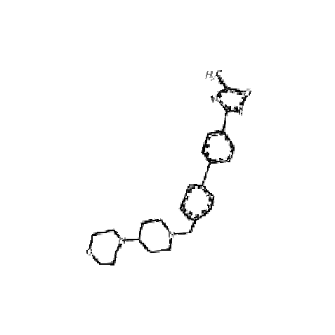 Cc1nc(-c2ccc(-c3ccc(CN4CCC(N5CCOCC5)CC4)cc3)cc2)no1